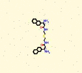 N/C(=C/C(=O)NCCSCCNC(=O)/C=C(/N)c1ccc2ccccc2c1)c1ccc2ccccc2c1